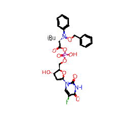 CC[C@H](C)[C@@H](C(=O)OP(=O)(O)OC[C@H]1O[C@@H](n2cc(F)c(=O)[nH]c2=O)C[C@@H]1O)N(OCc1ccccc1)c1ccccc1